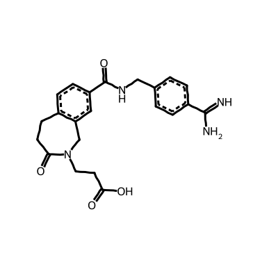 N=C(N)c1ccc(CNC(=O)c2ccc3c(c2)CN(CCC(=O)O)C(=O)CC3)cc1